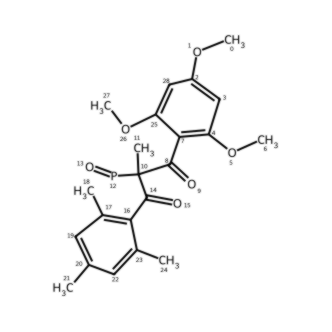 COc1cc(OC)c(C(=O)C(C)(P=O)C(=O)c2c(C)cc(C)cc2C)c(OC)c1